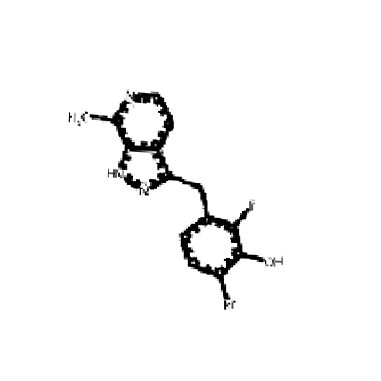 Cc1nccc2c(Cc3ccc(Br)c(O)c3F)n[nH]c12